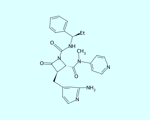 CC[C@@H](NC(=O)N1C(=O)[C@H](Cc2ccnc(N)c2)[C@H]1C(=O)N(C)c1ccncc1)c1ccccc1